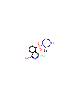 CC(C)[C@@H]1CNCCCN1S(=O)(=O)c1cccc2c(O)nccc12.Cl